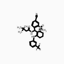 CC(C)(C)CC(=O)NC(C1=C(Nc2cccc(C(F)(F)F)c2)CCCC1=O)c1ccc(C#N)cc1S(C)(=O)=O